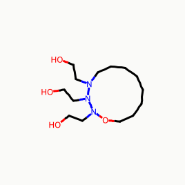 OCCN1CCCCCCCCON(CCO)N1CCO